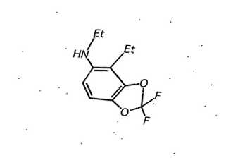 CCNc1ccc2c(c1CC)OC(F)(F)O2